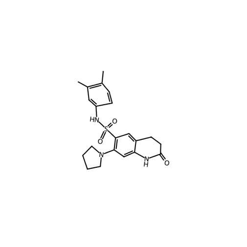 Cc1ccc(NS(=O)(=O)c2cc3c(cc2N2CCCC2)NC(=O)CC3)cc1C